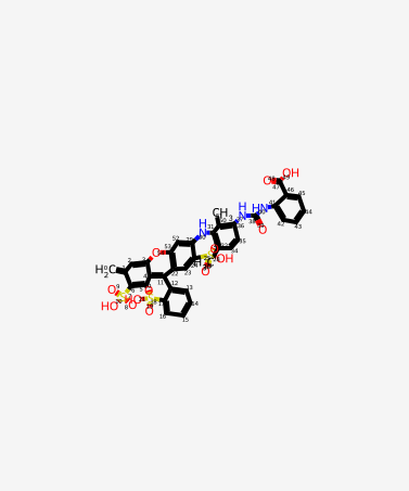 C=c1cc2c(cc1S(=O)(=O)O)=C(c1ccccc1S(=O)(=O)O)c1cc(S(=O)(=O)O)c(Nc3c(C)ccc(NC(=O)Nc4ccccc4C(=O)O)c3C)cc1O2